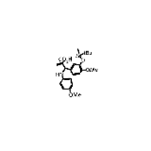 C=C(C(=O)O)C(Nc1ccc(OC)cc1)c1ccc(OC)c(O[Si](C)(C)C(C)(C)C)c1